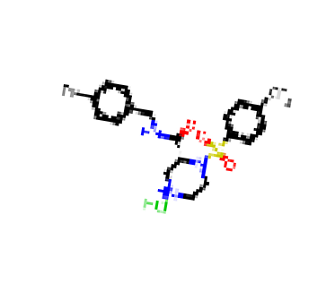 CC(C)c1ccc(CNC(=O)[C@H]2CNCCN2S(=O)(=O)c2ccc(C(F)(F)F)cc2)cc1.Cl